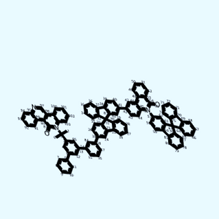 CC(C)(c1cc(-c2ccccc2)cc(-c2cccc(-c3ccc4c(c3)-c3ccccc3C43c4ccccc4-c4ccc(-c5ccc6c(c5)c5ccccc5c(=O)n6-c5ccc6c(c5)C5(c7ccccc7-c7ccccc75)c5ccccc5-6)cc43)c2)c1)n1c(=O)c2c3ccccc3ncc2c2ccccc21